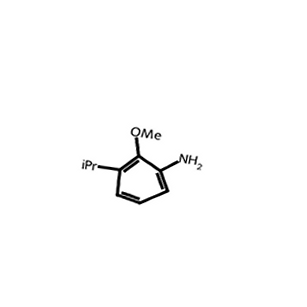 COc1c(N)cccc1C(C)C